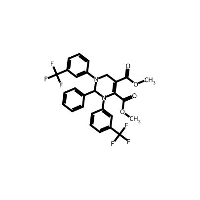 COC(=O)C1=C(C(=O)OC)N(c2cccc(C(F)(F)F)c2)C(c2ccccc2)N(c2cccc(C(F)(F)F)c2)C1